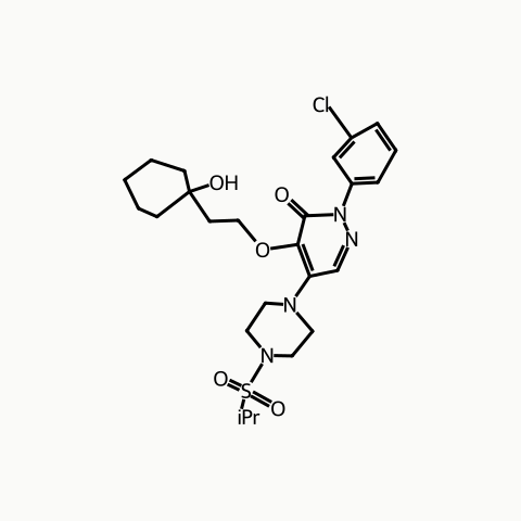 CC(C)S(=O)(=O)N1CCN(c2cnn(-c3cccc(Cl)c3)c(=O)c2OCCC2(O)CCCCC2)CC1